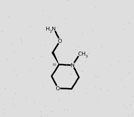 CN1CCOC[C@H]1CON